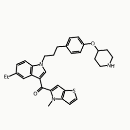 CCc1ccc2c(c1)c(C(=O)c1cc3sccc3n1C)cn2CCCc1ccc(OC2CCNCC2)cc1